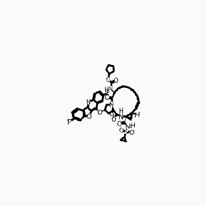 O=C(N[C@H]1CCCCC/C=C\[C@@H]2C[C@@]2(C(=O)NS(=O)(=O)C2CC2)NC(=O)[C@@H]2C[C@@H](Oc3c4cc(F)ccc4nc4c3oc3cc(F)ccc34)CN2C1=O)OC1CCCC1